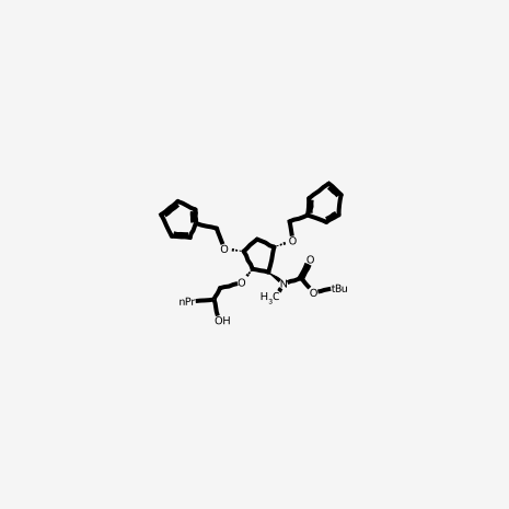 CCCC(O)CO[C@H]1[C@H](N(C)C(=O)OC(C)(C)C)[C@@H](OCc2ccccc2)C[C@H]1OCc1ccccc1